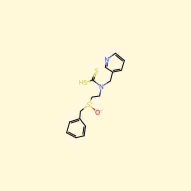 [O-][S+](CCN(Cc1cccnc1)C(=S)S)Cc1ccccc1